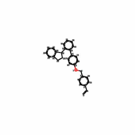 C=Cc1ccc(COc2ccc(-c3ccccc3C3CCc4ccccc43)cc2)cc1